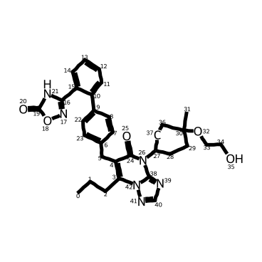 CCCc1c(Cc2ccc(-c3ccccc3-c3noc(=O)[nH]3)cc2)c(=O)n(C2CCC(C)(OCCO)CC2)c2ncnn12